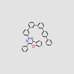 c1ccc(-c2ccc(-c3cccc(-c4cccc(-c5cccc(-c6nc(-c7ccccc7)c7oc8ccccc8c7n6)c5)c4)c3)cc2)cc1